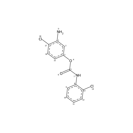 Nc1cc(OC(=O)Nc2ccccc2Cl)ccc1Cl